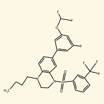 CCCCN1CCN(S(=O)(=O)c2cccc(C(F)(F)F)c2)c2cc(-c3cc(F)cc(OC(F)F)c3)ccc21